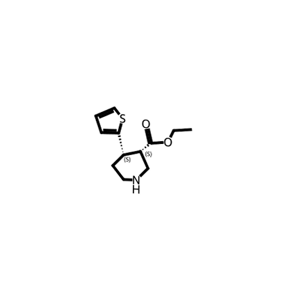 CCOC(=O)[C@@H]1CNCC[C@@H]1c1cccs1